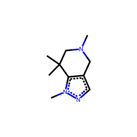 CN1Cc2cnn(C)c2C(C)(C)C1